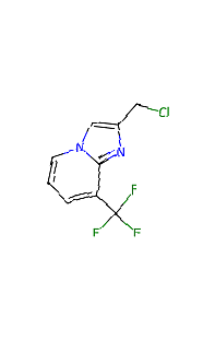 FC(F)(F)c1cccn2cc(CCl)nc12